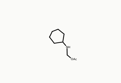 CC(=O)OCNC1CCCCC1